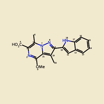 COc1nc(C(=O)O)c(C)n2nc(-c3cc4ccccc4[nH]3)c(C)c12